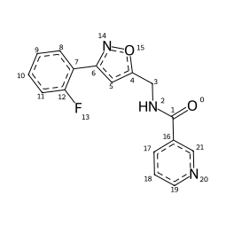 O=C(NCc1cc(-c2ccccc2F)no1)c1cccnc1